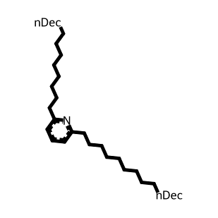 CCCCCCCCCCCCCCCCCCCc1cccc(CCCCCCCCCCCCCCCCCC)n1